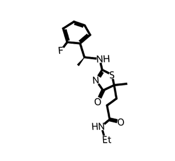 CCNC(=O)CCC1(C)SC(N[C@@H](C)c2ccccc2F)=NC1=O